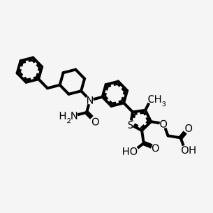 Cc1c(-c2cccc(N(C(N)=O)C3CCCC(Cc4ccccc4)C3)c2)sc(C(=O)O)c1OCC(=O)O